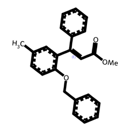 COC(=O)/C=C(\c1ccccc1)c1cc(C)ccc1OCc1ccccc1